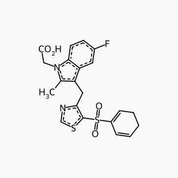 Cc1c(Cc2ncsc2S(=O)(=O)C2=CCCC=C2)c2cc(F)ccc2n1CC(=O)O